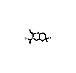 C=C(CC)N(CC1CCCC(C)(CC)C1)/C(O)=C/C